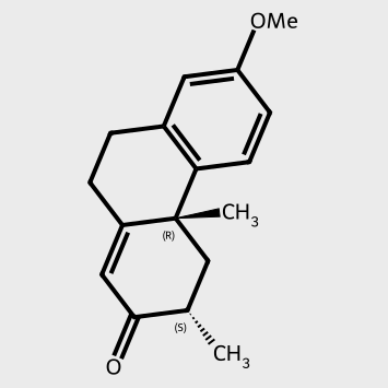 COc1ccc2c(c1)CCC1=CC(=O)[C@@H](C)C[C@]12C